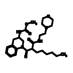 CCCCCCC(C(=O)NCCN1CCOCC1)C(=O)N1CC(NC(=O)OC)Cc2ccccc21